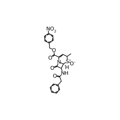 CC1C=C(C(=O)OCc2ccc([N+](=O)[O-])cc2)N2C(=O)C(NC(=O)Cc3ccccc3)[C@@H]2[S+]1[O-]